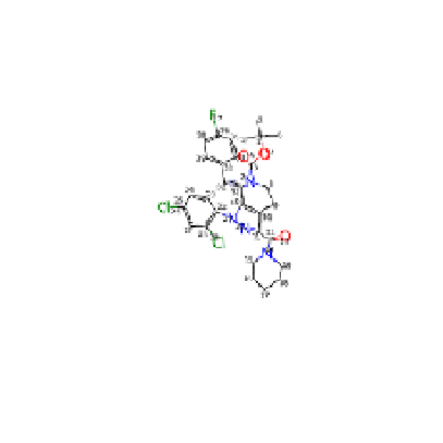 CC(C)(C)OC(=O)N1CCc2c(C(=O)N3CCCCC3)nn(-c3ccc(Cl)cc3Cl)c2/C1=C/c1ccc(F)cc1